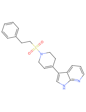 O=S(=O)(CCc1ccccc1)N1CC=C(c2c[nH]c3ncccc23)CC1